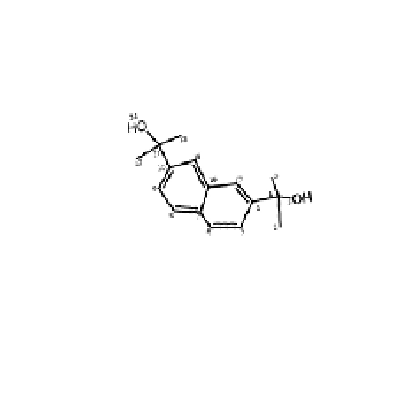 CC(C)(O)c1ccc2ccc(C(C)(C)O)cc2c1